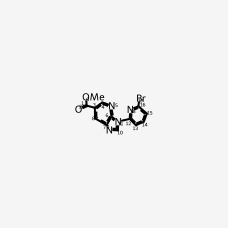 COC(=O)c1cnc2c(c1)ncn2-c1cccc(Br)n1